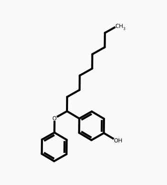 CCCCCCCCC(Oc1ccccc1)c1ccc(O)cc1